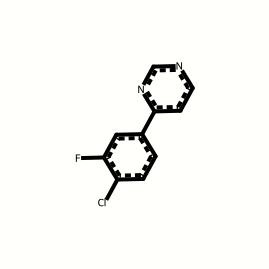 Fc1cc(-c2ccncn2)ccc1Cl